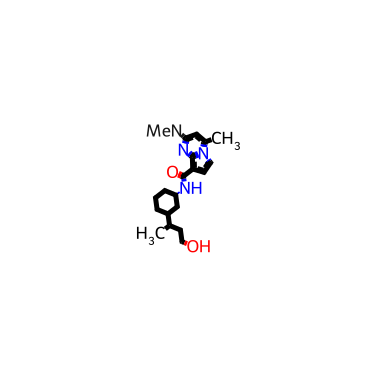 CNc1cc(C)n2ccc(C(=O)N[C@H]3CCCC(C(C)CCO)C3)c2n1